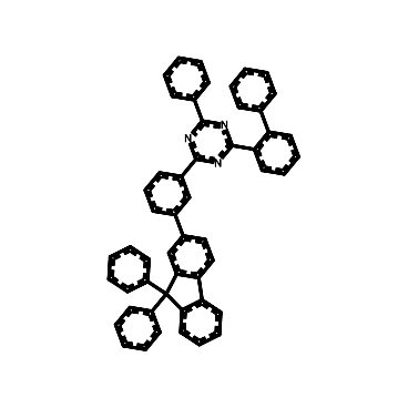 c1ccc(-c2nc(-c3cccc(-c4ccc5c(c4)C(c4ccccc4)(c4ccccc4)c4ccccc4-5)c3)nc(-c3ccccc3-c3ccccc3)n2)cc1